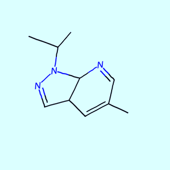 CC1=CC2C=NN(C(C)C)C2N=C1